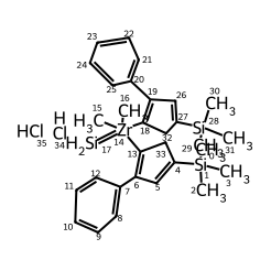 C[Si](C)(C)C1=CC(c2ccccc2)=[C]([Zr]([CH3])([CH3])(=[SiH2])[C]2=C(c3ccccc3)C=C([Si](C)(C)C)C2)C1.Cl.Cl